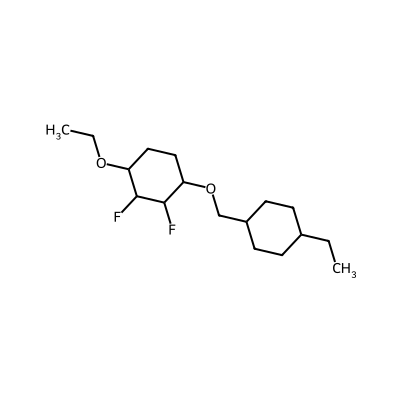 CCOC1CCC(OCC2CCC(CC)CC2)C(F)C1F